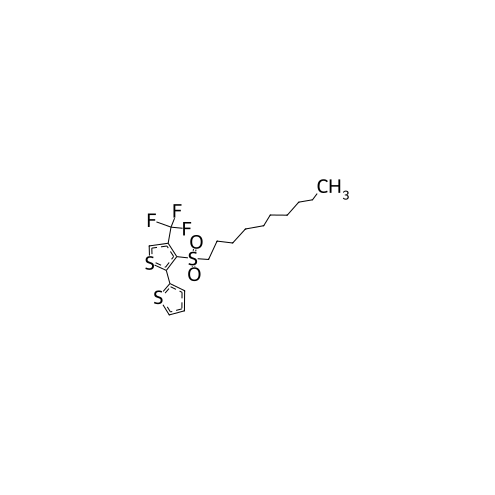 CCCCCCCCCCS(=O)(=O)c1c(C(F)(F)F)csc1-c1cccs1